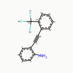 Nc1ccccc1C#Cc1ccccc1C(F)(F)F